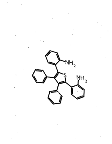 Nc1ccccc1-c1sc(-c2ccccc2N)c(-c2ccccc2)c1-c1ccccc1